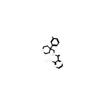 Nc1nccnc1C(=O)NCC1(c2cccc(F)c2)CCNCC1